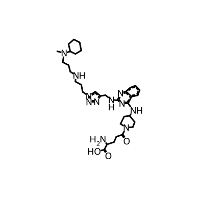 CN(CCCNCCCn1cc(CNc2nc(NC3CCN(C(=O)CCC(N)C(=O)O)CC3)c3ccccc3n2)nn1)C1CCCCC1